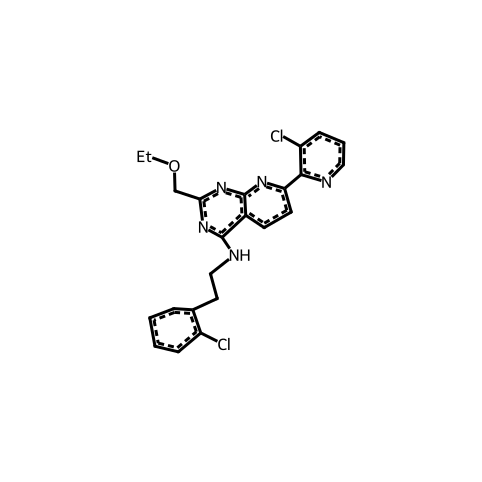 CCOCc1nc(NCCc2ccccc2Cl)c2ccc(-c3ncccc3Cl)nc2n1